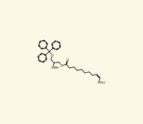 CCCCCCCC/C=C\CCCCCCCC(=O)OCC(COC(c1ccccc1)(c1ccccc1)c1ccccc1)OC